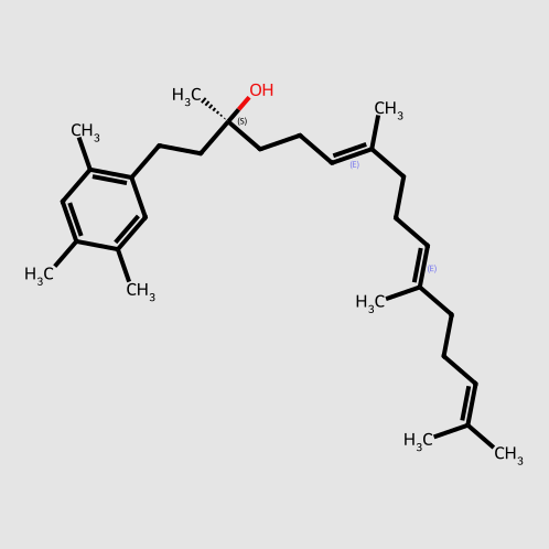 CC(C)=CCC/C(C)=C/CC/C(C)=C/CC[C@](C)(O)CCc1cc(C)c(C)cc1C